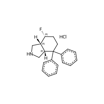 Cl.F[C@@H]1CCC(c2ccccc2)(c2ccccc2)[C@@H]2CNC[C@H]12